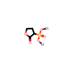 CCOP(=O)(OCC)C1CCOC1=O